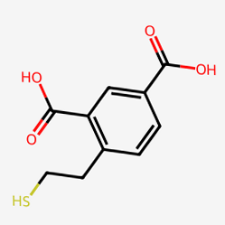 O=C(O)c1ccc(CCS)c(C(=O)O)c1